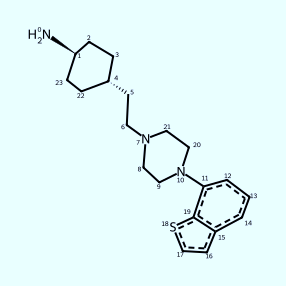 N[C@H]1CC[C@H](CCN2CCN(c3cccc4ccsc34)CC2)CC1